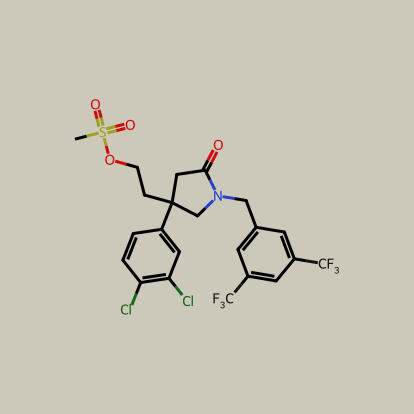 CS(=O)(=O)OCCC1(c2ccc(Cl)c(Cl)c2)CC(=O)N(Cc2cc(C(F)(F)F)cc(C(F)(F)F)c2)C1